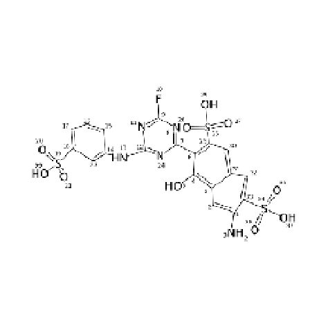 Nc1cc2c(O)c(-c3nc(F)nc(Nc4cccc(S(=O)(=O)O)c4)n3)c(S(=O)(=O)O)cc2cc1S(=O)(=O)O